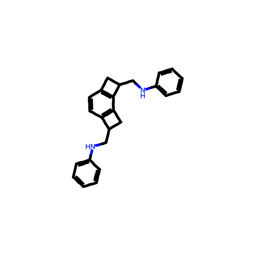 c1ccc(NCC2Cc3c2ccc2c3C(CNc3ccccc3)C2)cc1